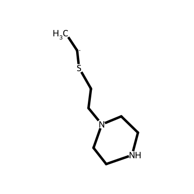 C[CH]SCCN1CCNCC1